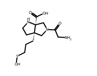 NCC(=O)N1C[C@@]2(CCCSO)CCN[C@@]2(C(=O)O)C1